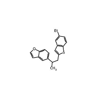 CCc1ccc2sc(CC(C)c3ccc4occc4c3)cc2c1